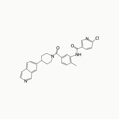 Cc1ccc(C(=O)N2CCC(c3ccc4ccncc4c3)CC2)cc1NC(=O)c1ccc(Cl)nc1